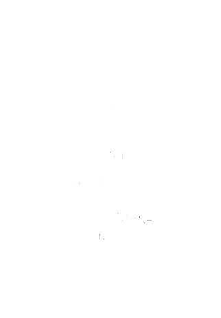 COCCNC(=O)c1ncc[nH]1